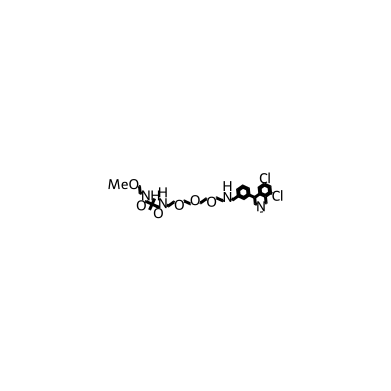 COCCNC(=O)C(C)(C)C(=O)NCCOCCOCCOCCNCc1cccc(C2CN(C)Cc3c(Cl)cc(Cl)cc32)c1